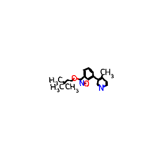 Cc1ccncc1-c1cccc2c(OCCC(C)(C)C)noc12